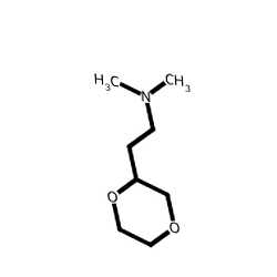 CN(C)CCC1COCCO1